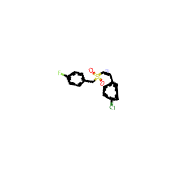 O=S(=O)(/C=C\c1ccc(Cl)cc1)Cc1ccc(F)cc1